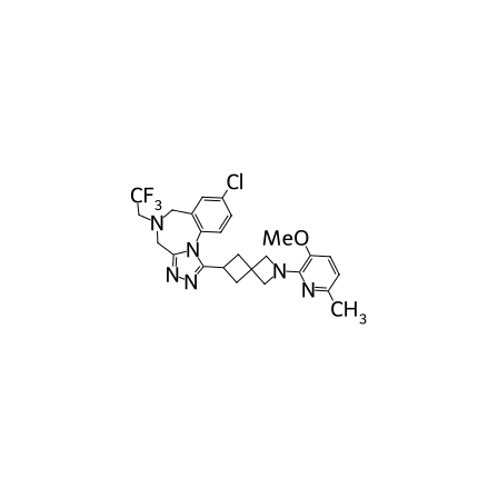 COc1ccc(C)nc1N1CC2(CC(c3nnc4n3-c3ccc(Cl)cc3CN(CC(F)(F)F)C4)C2)C1